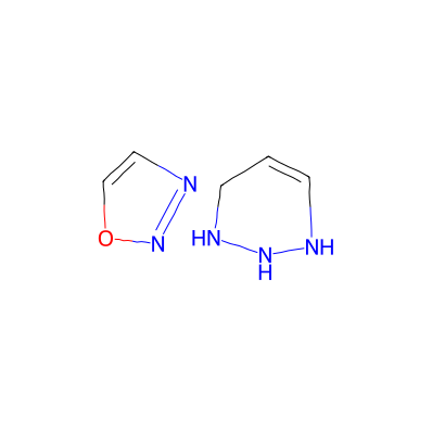 C1=CNNNC1.c1conn1